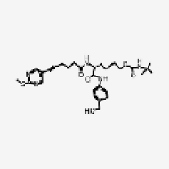 CSc1ncc(C#CCCCC(=O)N[C@@H](CCCCOC(=O)NC(C)(C)C)C(=O)Nc2ccc(CO)cc2)cn1